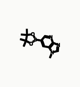 Cn1cnc2ncc(B3OC(C)(C)C(C)(C)O3)cc21